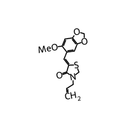 C=CCN1CS/C(=C\c2cc3c(cc2OC)OCO3)C1=O